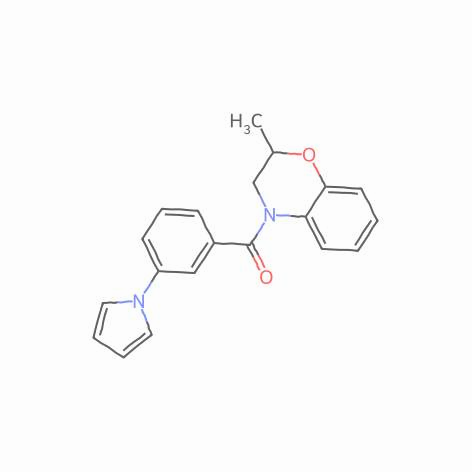 CC1CN(C(=O)c2cccc(-n3cccc3)c2)c2ccccc2O1